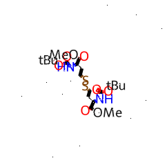 COC(=O)[C@H](CCSSCC[C@H](NC(=O)OC(C)(C)C)C(=O)OC)NC(=O)OC(C)(C)C